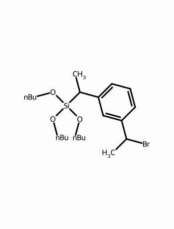 CCCCO[Si](OCCCC)(OCCCC)C(C)c1cccc(C(C)Br)c1